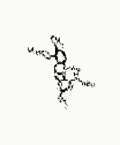 CCCCNc1nc(N)nc2cn(Cc3c(OC)ccc(C)c3OC)nc12